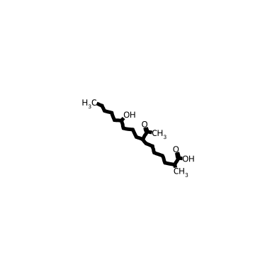 CCCCCC(O)CCCC(CCCCCC(C)C(=O)O)C(C)=O